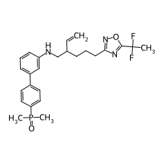 C=CC(CCCc1noc(C(C)(F)F)n1)CNc1cccc(-c2ccc(P(C)(C)=O)cc2)c1